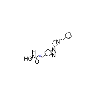 O=C(/C=C/c1ccc2c(c1)ncn2C1CCN(CCc2ccccc2)C1)NO